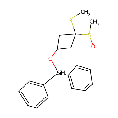 CSC1([S+](C)[O-])CC(O[SiH](c2ccccc2)c2ccccc2)C1